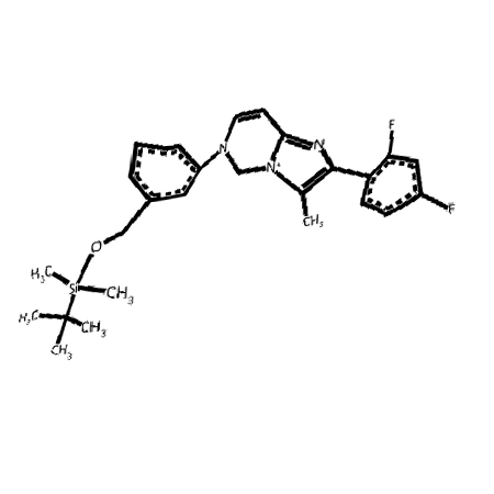 CC1=C(c2ccc(F)cc2F)N=C2C=CN(c3cccc(CO[Si](C)(C)C(C)(C)C)c3)C[N+]21